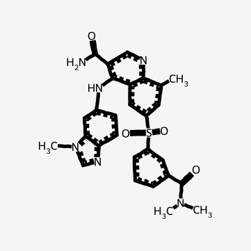 Cc1cc(S(=O)(=O)c2cccc(C(=O)N(C)C)c2)cc2c(Nc3ccc4ncn(C)c4c3)c(C(N)=O)cnc12